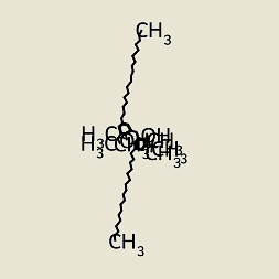 CCCCCCCCCCCCCCCCCCc1cc(Cc2cc(CCCCCCCCCCCCCCCCCC)cc(C(C)(C)C)c2O)c(O)c(C(C)(C)C)c1